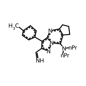 CCCN(CCC)c1c2c(nc3c(-c4ccc(C)cc4)c(C=N)nn13)CCC2